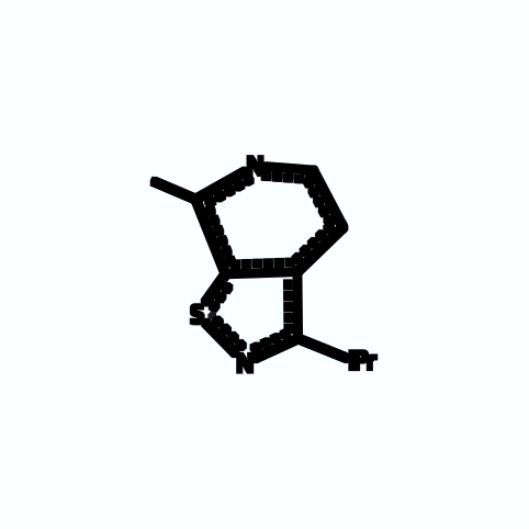 Cc1nccc2c(C(C)C)nsc12